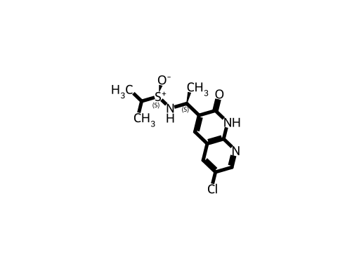 CC(C)[S@@+]([O-])N[C@@H](C)c1cc2cc(Cl)cnc2[nH]c1=O